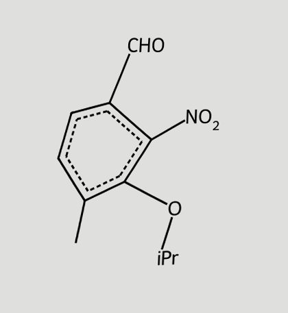 Cc1ccc(C=O)c([N+](=O)[O-])c1OC(C)C